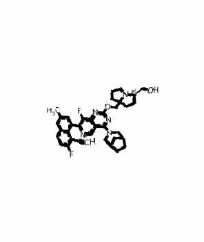 C#Cc1c(F)ccc2cc(C)cc(-c3ncc4c(N5CC6CCC(C6)C5)nc(OCC56CCCN5[C@@H](CO)CC6)nc4c3F)c12